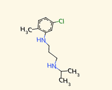 Cc1ccc(Cl)cc1NCCCNC(C)C